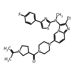 C=C(C)N1CCC(C(=O)N2CCN(c3ccc4nc(CC)c(N(C)c5nc(-c6ccc(F)cc6)cs5)n4c3)CC2)C1